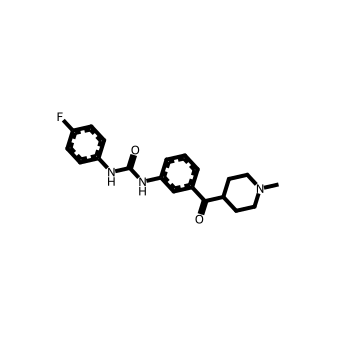 CN1CCC(C(=O)c2cccc(NC(=O)Nc3ccc(F)cc3)c2)CC1